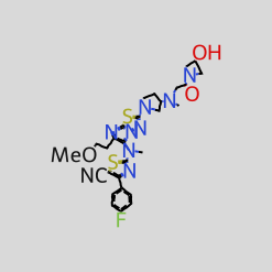 COCCc1nc2sc(N3CCC(N(C)CC(=O)N4CC(O)C4)C3)nn2c1N(C)c1nc(-c2ccc(F)cc2)c(C#N)s1